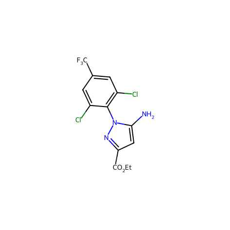 CCOC(=O)c1cc(N)n(-c2c(Cl)cc(C(F)(F)F)cc2Cl)n1